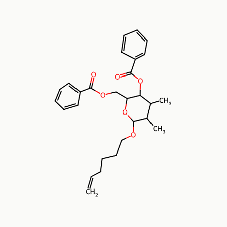 C=CCCCCOC1OC(COC(=O)c2ccccc2)C(OC(=O)c2ccccc2)C(C)C1C